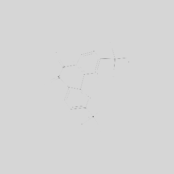 O=C1C(=O)c2ccc(C(Cl)(Cl)Cl)nc2-c2nc(C(Cl)(Cl)Cl)ccc21